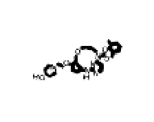 Cc1cccc(C)c1OC(=O)N1C/C=C\COCc2cc(ccc2OCCN2CCC(O)CC2)Nc2nccc1n2